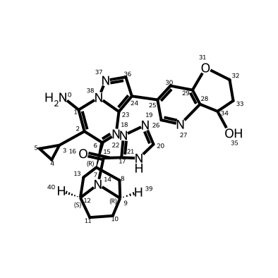 Nc1c(C2CC2)c([C@H]2C[C@H]3CC[C@@H](C2)N3C(=O)c2nnc[nH]2)nc2c(-c3cnc4c(c3)OCCC4O)cnn12